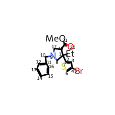 CCC1(c2cc(Br)cs2)CN(Cc2ccccc2)CC1C(=O)OC